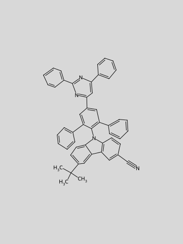 CC(C)(C)c1ccc2c(c1)c1cc(C#N)ccc1n2-c1c(-c2ccccc2)cc(-c2cc(-c3ccccc3)nc(-c3ccccc3)n2)cc1-c1ccccc1